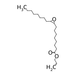 C=CCOC(=O)CCCCCCCC1OC1CCCCCCCC